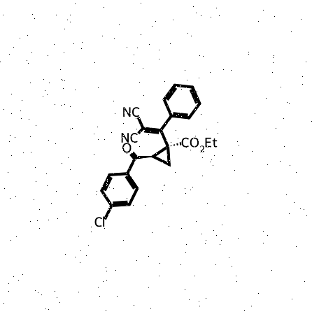 CCOC(=O)[C@]1(C(=C(C#N)C#N)c2ccccc2)C[C@H]1C(=O)c1ccc(Cl)cc1